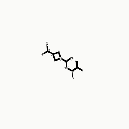 C=C(C)[C@@H](C)NC(O)N1CC(C(F)F)C1